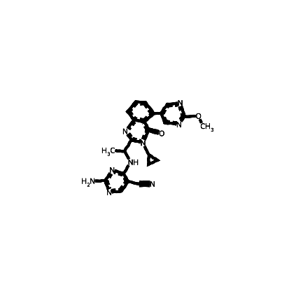 COc1ncc(-c2cccc3nc(C(C)Nc4nc(N)ncc4C#N)n(C4CC4)c(=O)c23)cn1